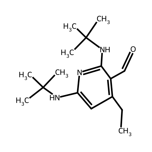 CCc1cc(NC(C)(C)C)nc(NC(C)(C)C)c1C=O